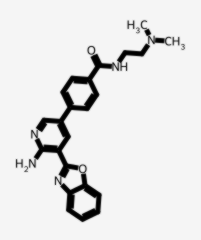 CN(C)CCNC(=O)c1ccc(-c2cnc(N)c(-c3nc4ccccc4o3)c2)cc1